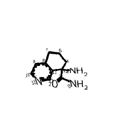 NC(=O)C1(N)CCCc2ccncc21